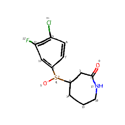 O=C1CC([S+]([O-])c2ccc(Cl)c(F)c2)CCCN1